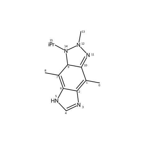 CC1=c2nc[nH]c2=C(C)C2C1=NN(C)N2C(C)C